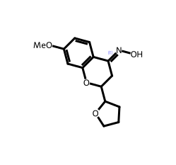 COc1ccc2c(c1)OC(C1CCCO1)C/C2=N\O